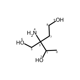 CC(O)C(N)(CO)CCO